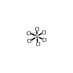 [Cl][V]([Cl])([Cl])([Cl])([Cl])[Cl]